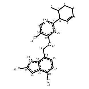 CC1CCC=CC1c1ncc(F)c(OCc2ccc(Cl)c3cc(F)oc23)n1